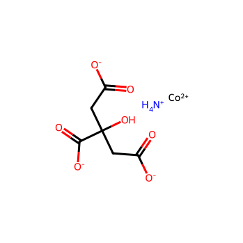 O=C([O-])CC(O)(CC(=O)[O-])C(=O)[O-].[Co+2].[NH4+]